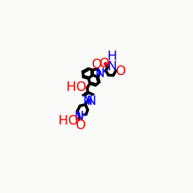 O=C1CCC(N2C(=O)c3cccc4c(C(O)c5cnn(C6CCN(C(=O)O)CC6)c5)ccc2c34)C(=O)N1